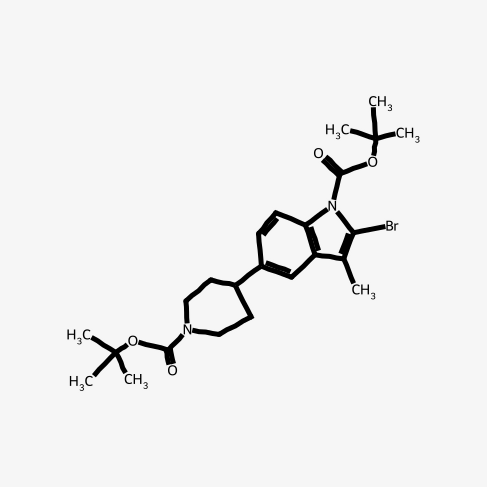 Cc1c(Br)n(C(=O)OC(C)(C)C)c2ccc(C3CCN(C(=O)OC(C)(C)C)CC3)cc12